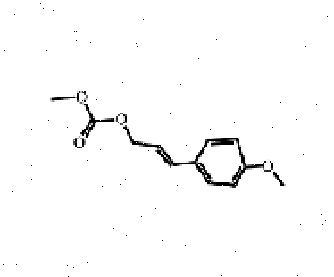 COC(=O)OC/C=C/c1ccc(OC)cc1